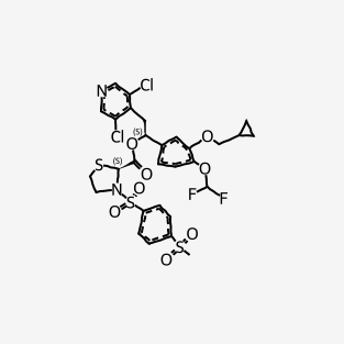 CS(=O)(=O)c1ccc(S(=O)(=O)N2CCS[C@H]2C(=O)O[C@@H](Cc2c(Cl)cncc2Cl)c2ccc(OC(F)F)c(OCC3CC3)c2)cc1